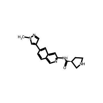 Cn1cc(-c2ccc3cnc(NC(=O)[C@H]4CCNC4)cc3c2)cn1